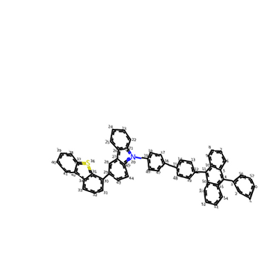 c1ccc(-c2c3ccccc3c(-c3ccc(-c4ccc(-n5c6ccccc6c6cc(-c7cccc8c7sc7ccccc78)ccc65)cc4)cc3)c3ccccc23)cc1